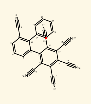 N#Cc1cccc(-c2c(C#N)c(C#N)c(C#N)c(C#N)c2C#N)c1-c1ccccc1